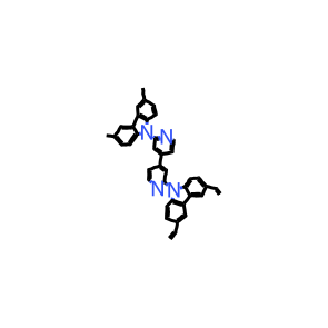 C=Cc1ccc2c(c1)c1cc(C=C)ccc1n2-c1cc(-c2ccnc(-n3c4ccc(C)cc4c4cc(C)ccc43)c2)ccn1